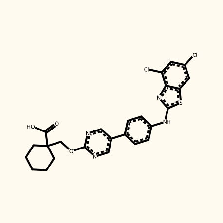 O=C(O)C1(COc2ncc(-c3ccc(Nc4nc5c(Cl)cc(Cl)cc5s4)cc3)cn2)CCCCC1